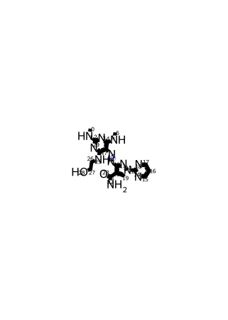 CNc1nc(NC)c(/N=N/c2nn(-c3ncccn3)cc2C(N)=O)c(NCCO)n1